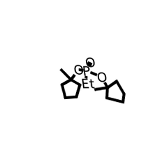 CCP(=O)(OC1(C)CCCC1)OC1(C)CCCC1